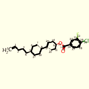 C=CCCC[C@H]1CC[C@H]([C@H]2CC[C@H](OC(=O)c3ccc(Cl)c(F)c3)CC2)CC1